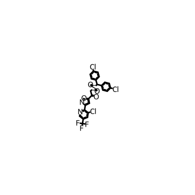 O=C(CS(=O)(=O)C(c1ccc(Cl)cc1)c1ccc(Cl)cc1)c1cc(-c2ncc(C(F)(F)F)cc2Cl)no1